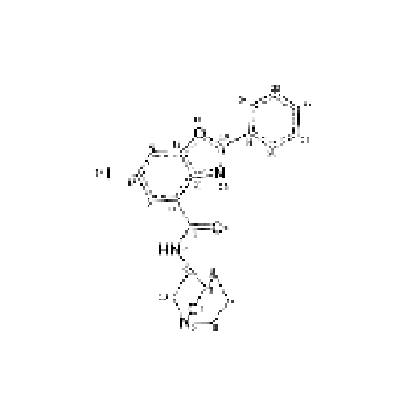 O=C(NC1CN2CCC1CC2)c1cc(I)cc2oc(-c3ccccc3)nc12